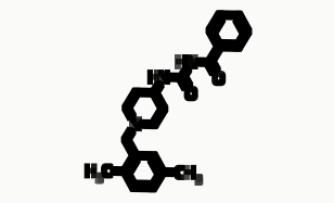 Cc1ccc(C)c(CN2CCC(NC(=O)NC(=O)c3ccccc3)CC2)c1